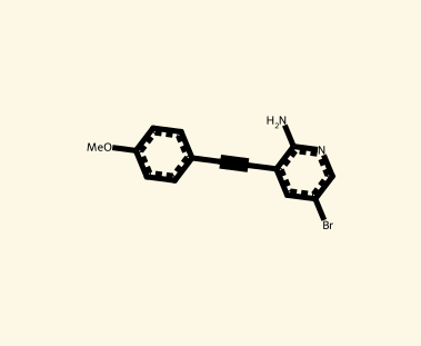 COc1ccc(C#Cc2cc(Br)cnc2N)cc1